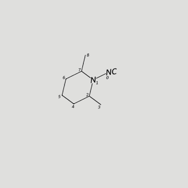 [C-]#[N+]N1C(C)CCCC1C